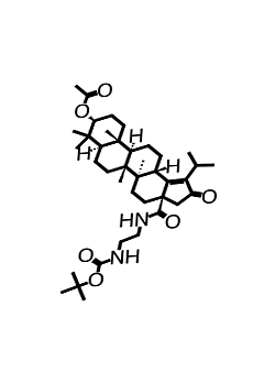 CC(=O)O[C@H]1CC[C@]2(C)[C@H]3CC[C@@H]4C5=C(C(C)C)C(=O)C[C@]5(C(=O)NCCNC(=O)OC(C)(C)C)CC[C@@]4(C)[C@]3(C)CC[C@H]2C1(C)C